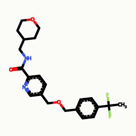 CC(F)(F)c1ccc(COCc2ccc(C(=O)NCC3CCOCC3)nc2)cc1